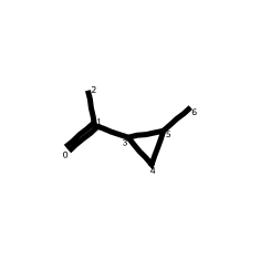 C=C(C)C1CC1C